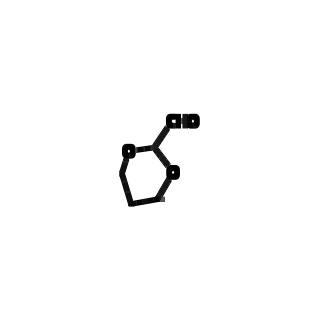 O=CC1O[CH]CCO1